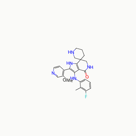 COc1cnccc1-c1[nH]c2c(c1Nc1cccc(F)c1C)C(=O)NCC21CCCNC1